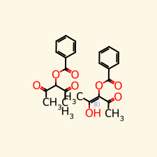 CC(=O)/C(OC(=O)c1ccccc1)=C(/C)O.CC(=O)C(OC(=O)c1ccccc1)C(C)=O